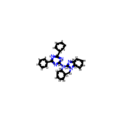 c1ccc(-c2nc(-c3ccccc3)nc(N3c4ccccc4Cn4c3nc3ccccc34)n2)cc1